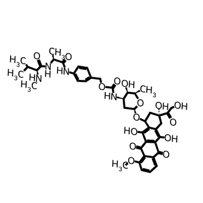 CN[C@H](C(=O)N[C@@H](C)C(=O)Nc1ccc(COC(=O)N[C@@H]2C[C@H](OC3C[C@@](O)(C(=O)CO)Cc4c(O)c5c(c(O)c43)C(=O)c3c(OC)cccc3C5=O)O[C@H](C)[C@@H]2O)cc1)C(C)C